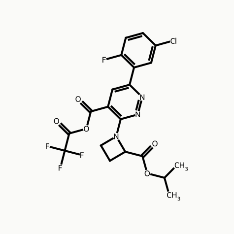 CC(C)OC(=O)C1CCN1c1nnc(-c2cc(Cl)ccc2F)cc1C(=O)OC(=O)C(F)(F)F